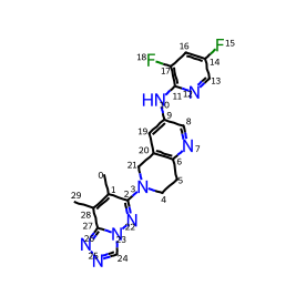 Cc1c(N2CCc3ncc(Nc4ncc(F)cc4F)cc3C2)nn2cnnc2c1C